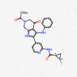 COC(=O)N1CC(=O)c2c([nH]c(-c3ccnc(NC(=O)[C@H]4C[C@H]4F)c3)c2Nc2ccccc2)C1